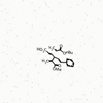 C=C(C(=O)OC)C(C=CC(=O)O)C=Cc1ccccc1.C=CC(=O)OCCCC